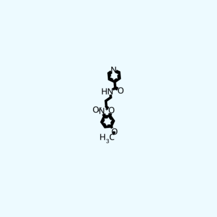 COc1ccc2c(c1)oc(CCNC(=O)c1ccncc1)[n+]2[O-]